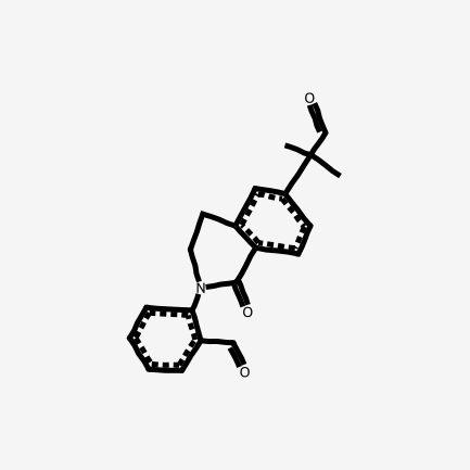 CC(C)(C=O)c1ccc2c(c1)CCN(c1ccccc1C=O)C2=O